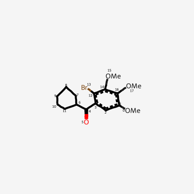 COc1cc(C(=O)C2CCCCC2)c(Br)c(OC)c1OC